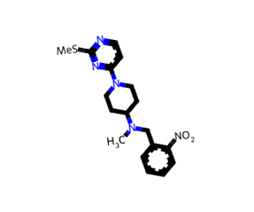 CSc1nccc(N2CCC(N(C)Cc3ccccc3[N+](=O)[O-])CC2)n1